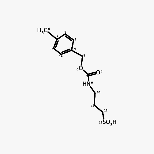 Cc1ccc(COC(=O)NCCCS(=O)(=O)O)cc1